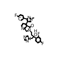 Cn1cc(-c2ccnc3c2C(=O)N(CCC(O)(Cn2cncn2)c2ccc(F)cc2F)C3)c(-c2ccc(F)cc2)n1